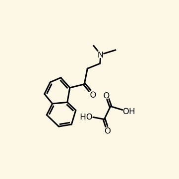 CN(C)CCC(=O)c1cccc2ccccc12.O=C(O)C(=O)O